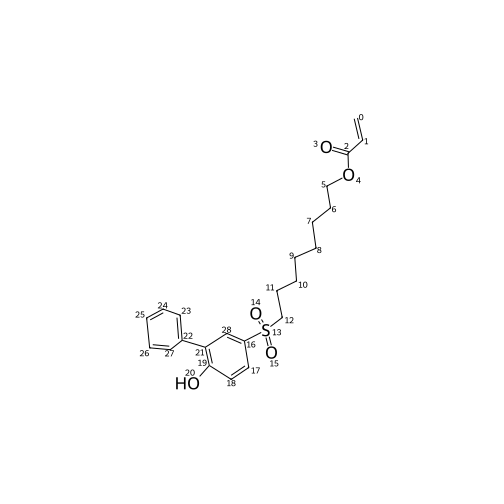 C=CC(=O)OCCCCCCCCS(=O)(=O)c1ccc(O)c(-c2ccccc2)c1